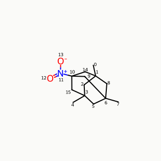 CC12CC3(C)CC(C)(C1)CC([N+](=O)[O-])(C2)C3